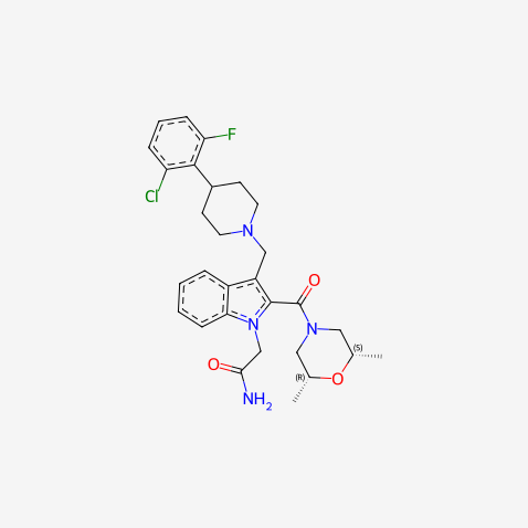 C[C@@H]1CN(C(=O)c2c(CN3CCC(c4c(F)cccc4Cl)CC3)c3ccccc3n2CC(N)=O)C[C@H](C)O1